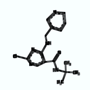 CC(C)(C)NC(=O)c1cnc(Cl)nc1NCc1cccnc1